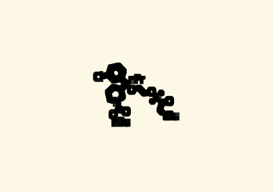 CCCCOC(=O)N1CCCC([C@@](CCC)(OCCO[Si](C)(C)C(=O)CC(C)(C)C)c2cccc(Cl)c2)C1